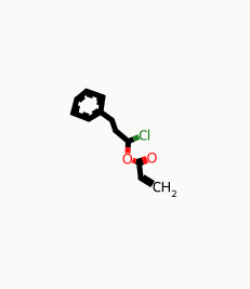 C=CC(=O)OC(Cl)CCc1ccccc1